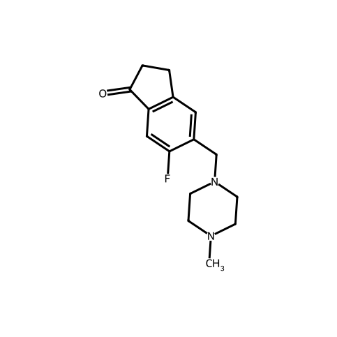 CN1CCN(Cc2cc3c(cc2F)C(=O)CC3)CC1